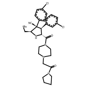 CC(C)(C)C[C@@H]1N[C@@H](C(=O)N2CCN(CC(=O)N3CCCC3)CC2)[C@H](c2cccc(Cl)c2)[C@@]1(C#N)c1ccc(Cl)cc1